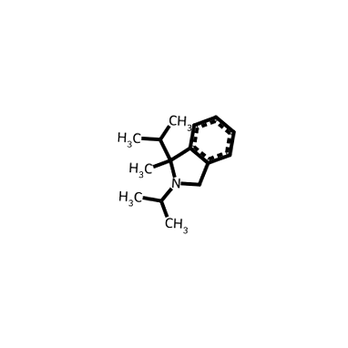 CC(C)N1Cc2ccccc2C1(C)C(C)C